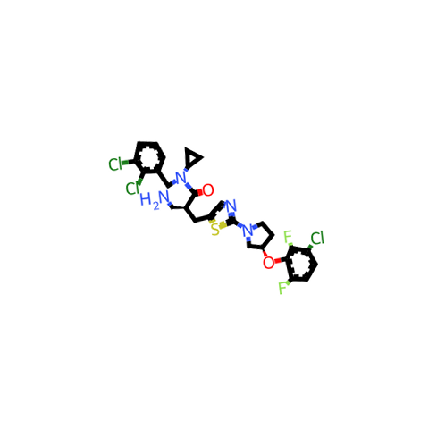 NC[C@H](Cc1cnc(N2CC[C@@H](Oc3c(F)ccc(Cl)c3F)C2)s1)C(=O)N(Cc1cccc(Cl)c1Cl)C1CC1